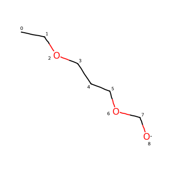 CCOCCCOC[O]